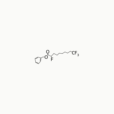 O=C(OCc1ccccc1)C(F)CCCCCCCC(F)(F)F